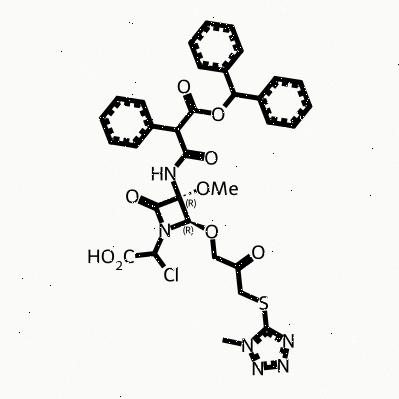 CO[C@@]1(NC(=O)C(C(=O)OC(c2ccccc2)c2ccccc2)c2ccccc2)C(=O)N(C(Cl)C(=O)O)[C@@H]1OCC(=O)CSc1nnnn1C